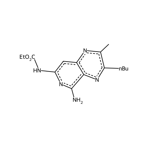 CCCCc1nc2c(N)nc(NC(=O)OCC)cc2nc1C